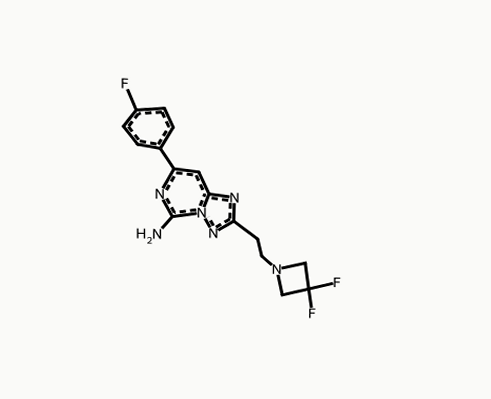 Nc1nc(-c2ccc(F)cc2)cc2nc(CCN3CC(F)(F)C3)nn12